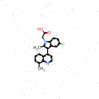 Cc1cccc2c(-c3c(C)n(CC(=O)O)c4ccc(F)cc34)ccnc12